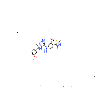 COc1cccc(-c2nc3c(Nc4ccc(-c5sc(C)nc5C)c(OC)c4)cncn3c2C)c1